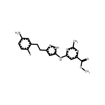 COC(=O)c1cc(Nc2cc(CCc3cc(N)ccc3F)n[nH]2)nc(C)n1